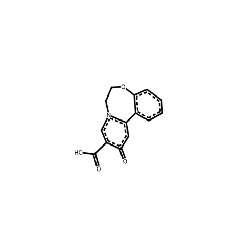 O=C(O)c1cn2c(cc1=O)-c1ccccc1OCC2